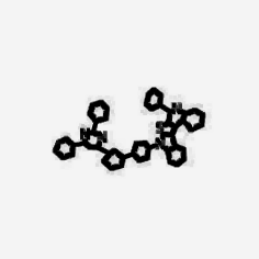 c1ccc(-c2cc(-c3cccc(-c4ccc(-n5c6ccccc6c6c7c(sc65)c(-c5ccccc5)nc5ccccc57)cc4)c3)nc(-c3ccccc3)n2)cc1